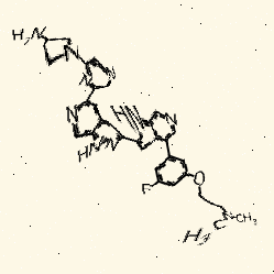 CN(C)CCOc1cc(F)cc(-c2cncc3[nH]c(-c4n[nH]c5cnc(-c6cncc(N7CC(N)C7)n6)cc45)cc23)c1